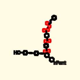 C#Cc1ccc(C#Cc2ccc(C#CC3(OC(=O)c4ccc(OC(=O)C5CCC(C(=O)OCOC(=O)/C=C/c6ccccc6)CC5)cc4)CCC(C4CCC(CCCCC)CC4)CC3)cc2)cc1